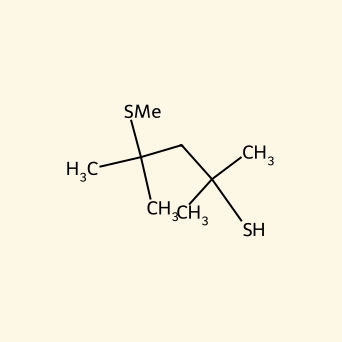 CSC(C)(C)CC(C)(C)S